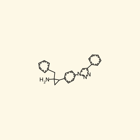 NC1(Cc2ccccc2)CC1c1ccc(-n2cc(-c3ccccc3)nn2)cc1